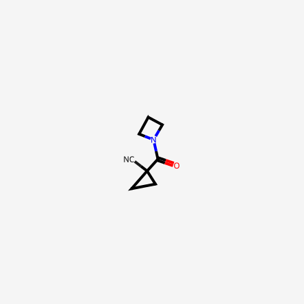 N#CC1(C(=O)N2C[CH]C2)CC1